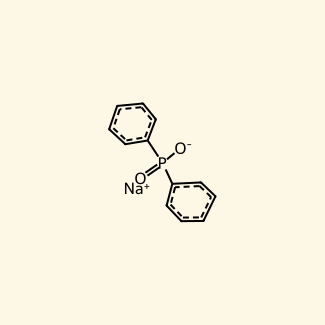 O=P([O-])(c1ccccc1)c1ccccc1.[Na+]